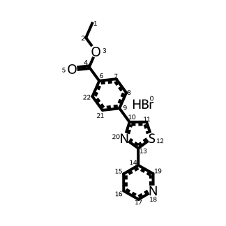 Br.CCOC(=O)c1ccc(-c2csc(-c3cccnc3)n2)cc1